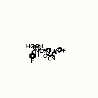 CC(CC(C)(C)N1CC[C@H](F)C1)C(C#N)C(=O)N1CCC[C@]1(C)COC(=O)N[C@@H](Cc1ccc(F)cc1)B(O)O